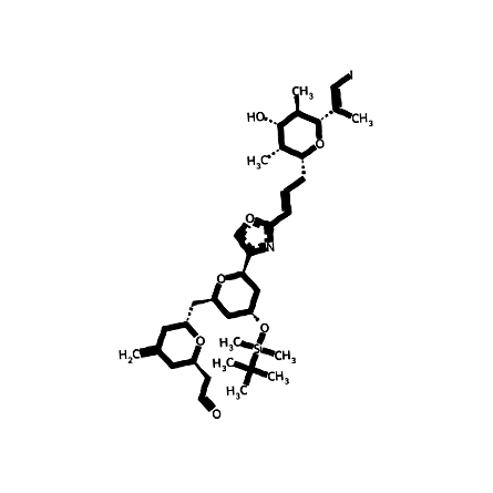 C=C1C[C@H](C[C@@H]2C[C@@H](O[Si](C)(C)C(C)(C)C)C[C@H](c3coc(/C=C/C[C@H]4O[C@@H](/C(C)=C/I)[C@H](C)[C@@H](O)[C@H]4C)n3)O2)O[C@@H](CC=O)C1